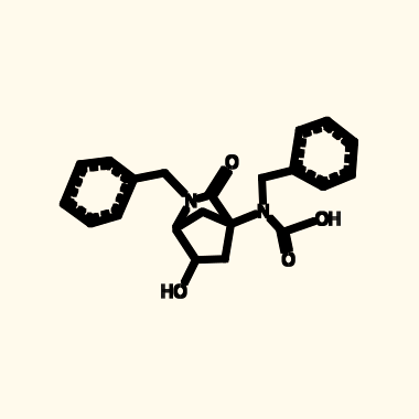 O=C(O)N(Cc1ccccc1)C12CC(O)C(C1)N(Cc1ccccc1)C2=O